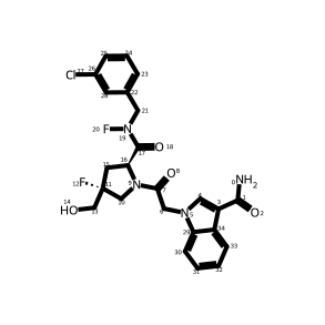 NC(=O)c1cn(CC(=O)N2C[C@@](F)(CO)C[C@H]2C(=O)N(F)Cc2cccc(Cl)c2)c2ccccc12